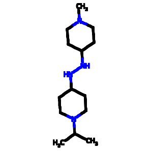 CC(C)N1CCC(NNC2CCN(C)CC2)CC1